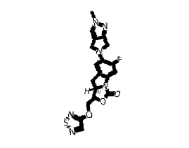 Cn1cc2c(n1)CN(c1cc3c(cc1F)N1C(=O)OC(COc4cnsn4)[C@@H]1C3)C2